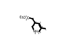 CCOC(=O)CC(C=C(C)C)CN